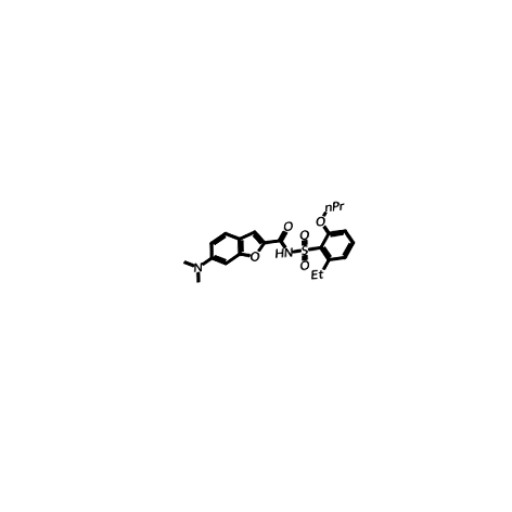 CCCOc1cccc(CC)c1S(=O)(=O)NC(=O)c1cc2ccc(N(C)C)cc2o1